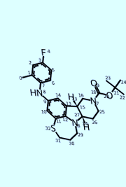 Cc1cc(F)ccc1Nc1cc2c3c(c1)[C@@H]1CN(C(=O)OC(C)(C)C)CC[C@@H]1N3CCCS2